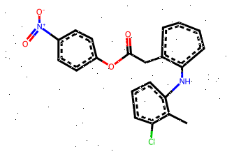 Cc1c(Cl)cccc1Nc1ccccc1CC(=O)Oc1ccc([N+](=O)[O-])cc1